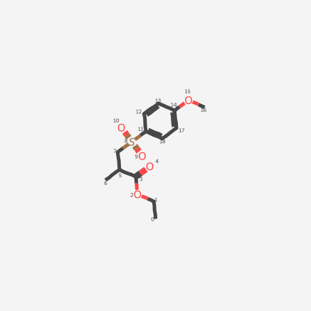 CCOC(=O)C(C)CS(=O)(=O)c1ccc(OC)cc1